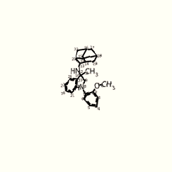 COc1ccccc1NCC(C)(NC1C2CC3CC(C2)CC1C3)c1ccccc1